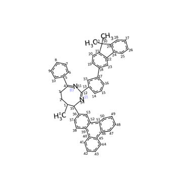 CC1CC/C(c2ccccc2)=N\C(c2cccc(-c3ccc4c(c3)-c3ccccc3C4(C)C)c2)=N/C1c1ccc2c3ccccc3c3ccccc3c2c1